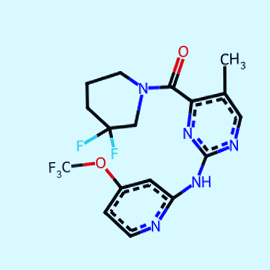 Cc1cnc(Nc2cc(OC(F)(F)F)ccn2)nc1C(=O)N1CCCC(F)(F)C1